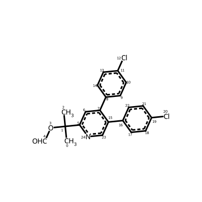 CC(C)(OC=O)c1cc(-c2ccc(Cl)cc2)c(-c2ccc(Cl)cc2)cn1